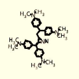 CN(C)c1ccc(C(=C2C(CC(c3ccc(N(C)C)cc3)c3ccc(N(C)C)cc3)[N+]2=[N-])c2ccc(N(C)C)cc2)cc1